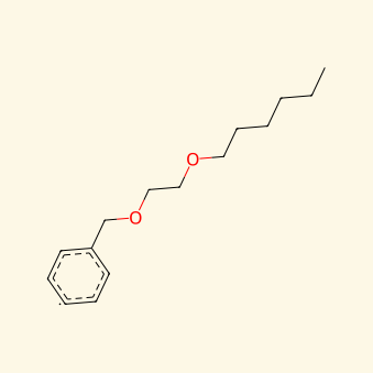 CCCCCCOCCOCc1cc[c]cc1